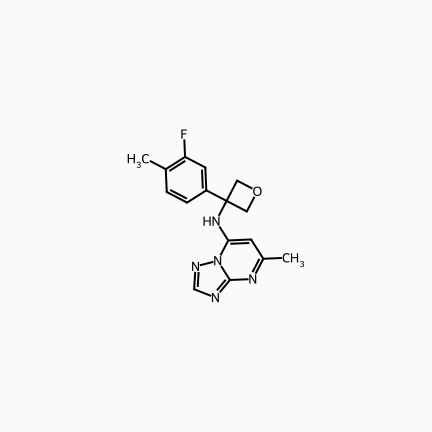 Cc1cc(NC2(c3ccc(C)c(F)c3)COC2)n2ncnc2n1